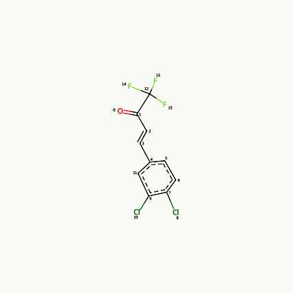 O=C(C=Cc1ccc(Cl)c(Cl)c1)C(F)(F)F